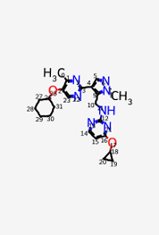 Cc1nc(-c2cnn(C)c2CNc2nccc(OC3CC3)n2)ncc1OC1CCCCC1